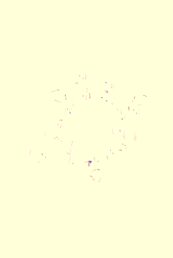 CC(C)C[C@@H]1NC(=O)[C@H](CCCN)NC(=O)[C@H](C(C)C)NC(=O)[C@H](Cc2ccc(O)cc2)NC(=O)[C@H](CCC(N)=O)NC(=O)[C@H](CC(N)=O)NC(=O)[C@@H](Cc2c[nH]c3ccccc23)NC(=O)[C@H](CC(C)C)NC(=O)[C@@H]2CCCN2C(=O)[C@@H](Cc2ccccc2)NC1=O